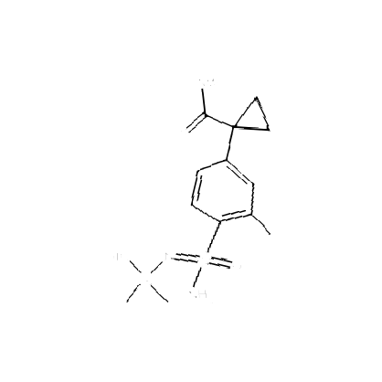 CNC(=O)C1(c2ccc(S(N)(=O)=N[Si](C)(C)C(C)(C)C)c(F)c2)CC1